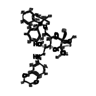 CO[C@@]1(C)O[C@H]([C@@H](O)CNc2ccc3c(c2)OCCO3)[C@@H](CO[Si](c2ccccc2)(c2ccccc2)C(C)(C)C)O[C@]1(C)OC